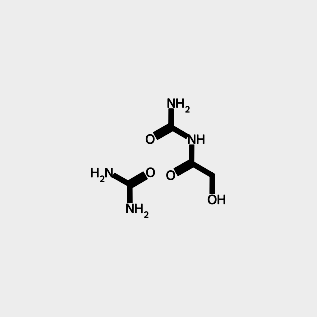 NC(=O)NC(=O)CO.NC(N)=O